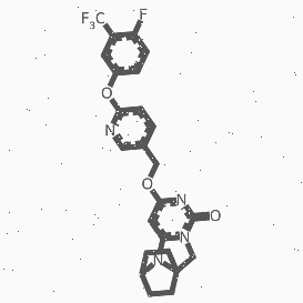 O=c1nc(OCc2ccc(Oc3ccc(F)c(C(F)(F)F)c3)nc2)cc2n1CC13CCC(CC1)N23